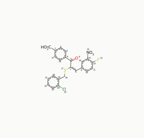 O=C(O)c1ccc(C(=O)/C(=C\c2ccc(F)c([N+](=O)[O-])c2)SCc2ccccc2Cl)cc1